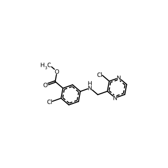 COC(=O)c1cc(NCc2nccnc2Cl)ccc1Cl